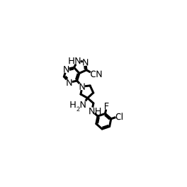 N#Cc1n[nH]c2ncnc(N3CCC(N)(CNc4cccc(Cl)c4F)C3)c12